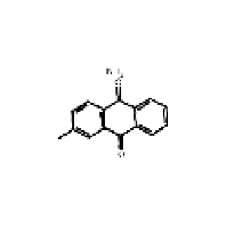 Cc1ccc2c(c1)C(=O)c1ccccc1C2=O.N